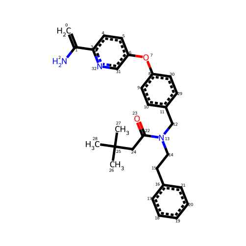 C=C(N)c1ccc(Oc2ccc(CN(CCc3ccccc3)C(=O)CC(C)(C)C)cc2)cn1